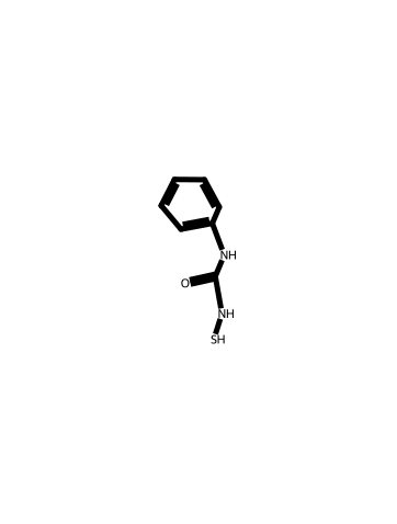 O=C(NS)Nc1ccccc1